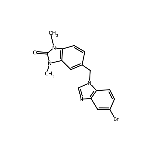 Cn1c(=O)n(C)c2cc(Cn3cnc4cc(Br)ccc43)ccc21